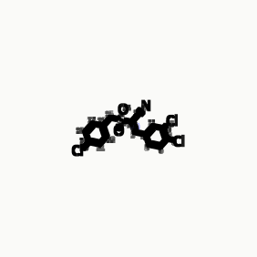 N#C/C(=C\c1ccc(Cl)c(Cl)c1)S(=O)(=O)Cc1ccc(Cl)cc1